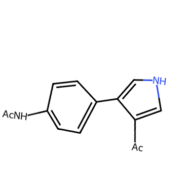 CC(=O)Nc1ccc(-c2c[nH]cc2C(C)=O)cc1